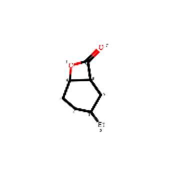 CCC1CCC2OC(=O)C2C1